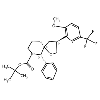 COc1ccc(C(F)(F)F)nc1[C@H]1CO[C@]2(CCCN(C(=O)OC(C)(C)C)[C@H]2c2ccccc2)C1